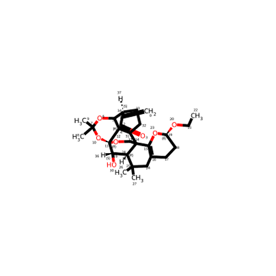 C=C1C(=O)[C@@]23C4OC(C)(C)O[C@]25OCC2(C6=C(CC[C@H](OCC)O6)CC(C)(C)[C@H]2[C@@H]5O)C3CC[C@@H]14